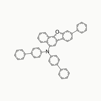 c1ccc(-c2ccc(N(c3ccc(-c4ccccc4)cc3)c3cc4c5ccc(-c6ccccc6)cc5oc4c4ccccc34)cc2)cc1